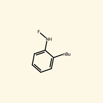 CCCCc1ccccc1NF